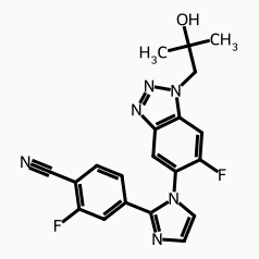 CC(C)(O)Cn1nnc2cc(-n3ccnc3-c3ccc(C#N)c(F)c3)c(F)cc21